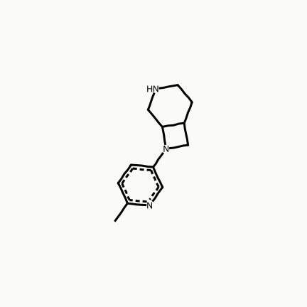 Cc1ccc(N2CC3CCNCC32)cn1